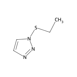 CCSn1ccnn1